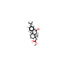 COC(=O)C[C@]1(C)CCC[C@]2(C)c3ccc(C(C)C)cc3C(=O)C[C@@H]12